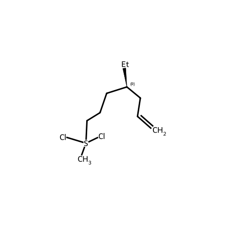 C=CC[C@H](CC)CCCS(C)(Cl)Cl